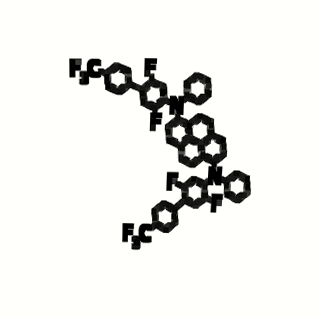 Fc1cc(N(c2ccccc2)c2ccc3ccc4c(N(c5ccccc5)c5cc(F)c(-c6ccc(C(F)(F)F)cc6)cc5F)ccc5ccc2c3c54)c(F)cc1-c1ccc(C(F)(F)F)cc1